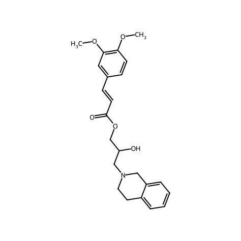 COc1ccc(C=CC(=O)OCC(O)CN2CCc3ccccc3C2)cc1OC